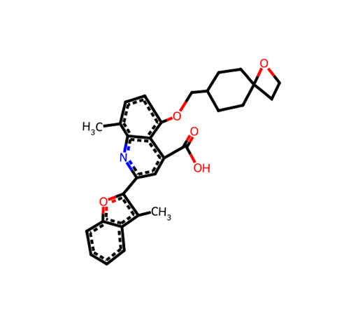 Cc1c(-c2cc(C(=O)O)c3c(OCC4CCC5(CCO5)CC4)ccc(C)c3n2)oc2ccccc12